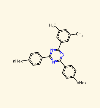 CCCCCCc1ccc(-c2nc(-c3ccc(CCCCCC)cc3)nc(-c3cc(C)cc(C)c3)n2)cc1